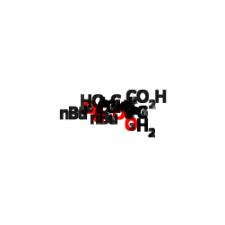 C=CC(=O)OCCCC.C=CC(=O)OCCCC.O=C(O)/C=C\C(=O)O